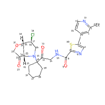 CCc1cc(-c2cnc(C(=O)NCC(=O)C3(N4C[C@H](Cl)[C@H]5OCC(=O)[C@H]54)CCCCC3)s2)ccn1